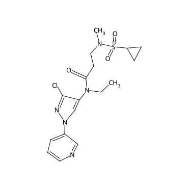 CCN(C(=O)CCN(C)S(=O)(=O)C1CC1)c1cn(-c2cccnc2)nc1Cl